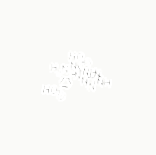 Nc1nc(C(=O)O)c(Nc2ncnc3[nH]cnc23)nc1-c1ccc(C(=O)O)cc1